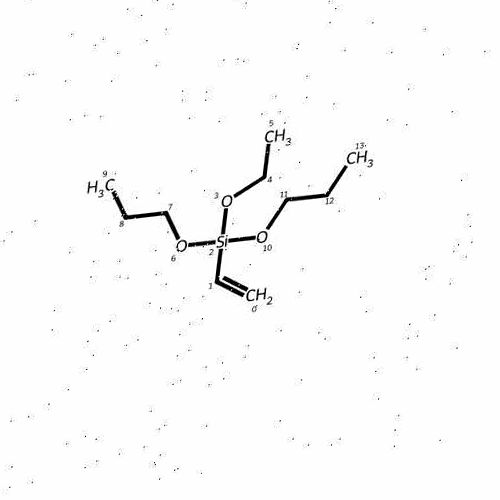 C=C[Si](OCC)(OCCC)OCCC